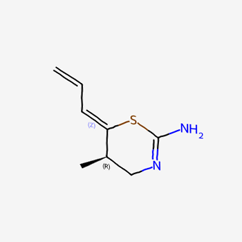 C=C/C=C1\SC(N)=NC[C@H]1C